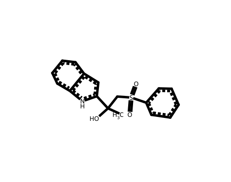 CC(O)(CS(=O)(=O)c1ccccc1)c1cc2ccccc2[nH]1